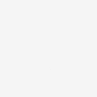 COc1ccc2c(c1)C(CCO)CCO2